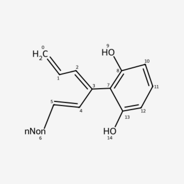 C=CC=C(C=CCCCCCCCCC)c1c(O)cccc1O